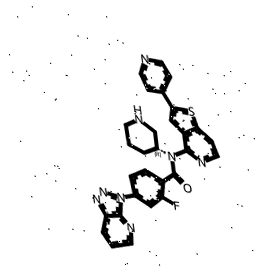 O=C(c1ccc(-n2nnc3cccnc32)cc1F)N(c1nccc2sc(-c3ccncc3)cc12)[C@@H]1CCCNC1